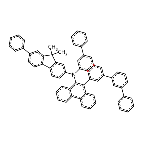 CC1(C)c2cc(-c3ccccc3)ccc2-c2ccc(N(c3cccc(-c4ccccc4)c3)c3c(-c4cccc(-c5cccc(-c6ccccc6)c5)c4)c4ccccc4c4ccccc34)cc21